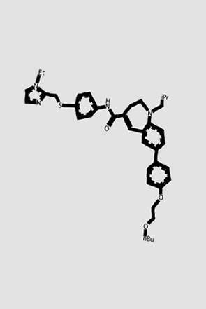 CCCCOCCOc1ccc(-c2ccc3c(c2)C=C(C(=O)Nc2ccc(SCc4nccn4CC)cc2)CCN3CC(C)C)cc1